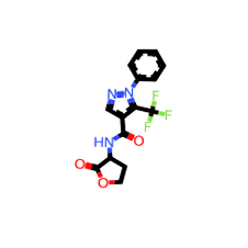 O=C(NC1CCOC1=O)c1cnn(-c2ccccc2)c1C(F)(F)F